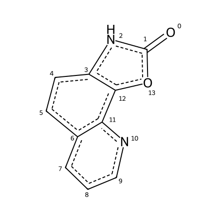 O=c1[nH]c2ccc3cccnc3c2o1